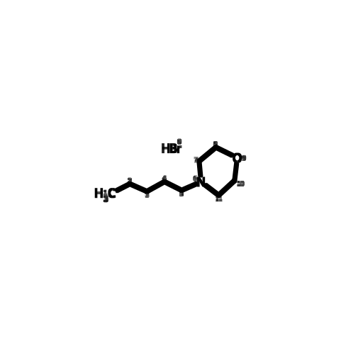 Br.CCCCCN1CCOCC1